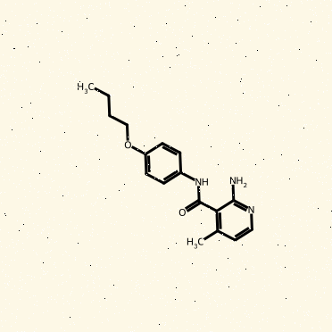 CCCCOc1ccc(NC(=O)c2c(C)ccnc2N)cc1